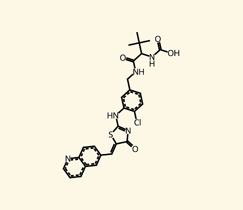 CC(C)(C)C(NC(=O)O)C(=O)NCc1ccc(Cl)c(NC2=NC(=O)/C(=C/c3ccc4ncccc4c3)S2)c1